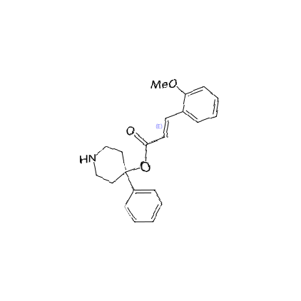 COc1ccccc1/C=C/C(=O)OC1(c2ccccc2)CCNCC1